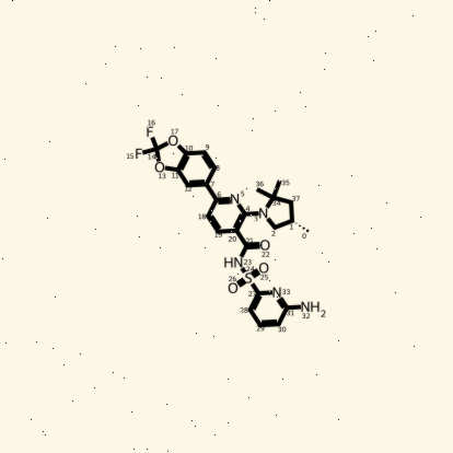 C[C@@H]1CN(c2nc(-c3ccc4c(c3)OC(F)(F)O4)ccc2C(=O)NS(=O)(=O)c2cccc(N)n2)C(C)(C)C1